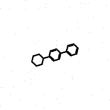 [c]1ccccc1-c1ccc(C2CCCCC2)cc1